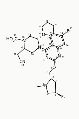 CN1C[C@H](F)C[C@H]1COc1nc(N2CCN(C(=O)O)C(CC#N)C2)c2c3c(c(Br)cc2n1)CCCO3